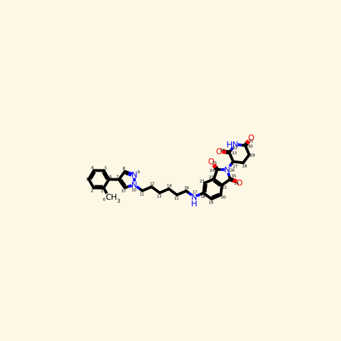 Cc1ccccc1-c1cnn(CCCCCCNc2ccc3c(c2)C(=O)N(C2CCC(=O)NC2=O)C3=O)c1